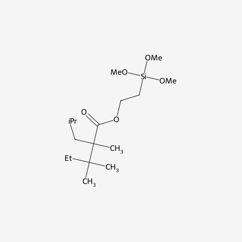 CCC(C)(C)C(C)(CC(C)C)C(=O)OCC[Si](OC)(OC)OC